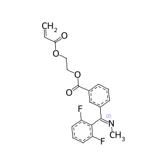 C=CC(=O)OCCOC(=O)c1cccc(/C(=N/C)c2c(F)cccc2F)c1